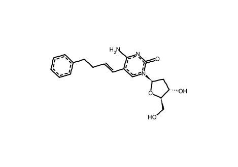 Nc1nc(=O)n([C@H]2C[C@H](O)[C@@H](CO)O2)cc1/C=C/CCc1ccccc1